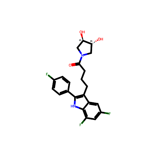 O=C(CCCc1c(-c2ccc(F)cc2)[nH]c2c(F)cc(F)cc12)N1C[C@@H](O)[C@H](O)C1